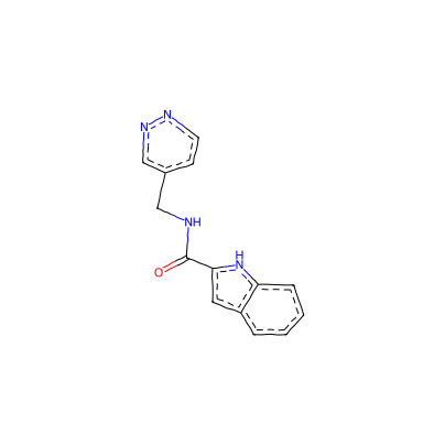 O=C(NCc1ccnnc1)c1cc2ccccc2[nH]1